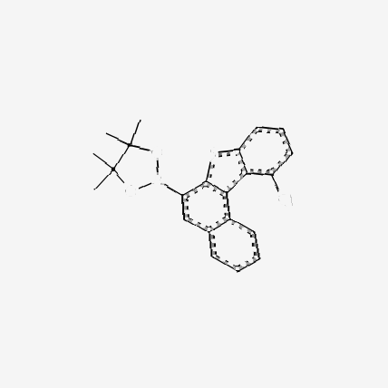 CC1(C)OB(c2cc3ccccc3c3c2sc2cccc(Cl)c23)OC1(C)C